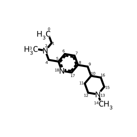 CCN(C)Cc1ccc(CC2CCN(C)CC2)cn1